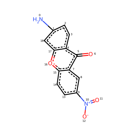 Nc1ccc2c(=O)c3cc([N+](=O)[O-])ccc3oc2c1